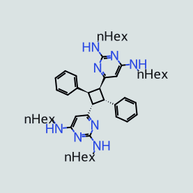 CCCCCCNc1cc([C@H]2[C@H](c3ccccc3)[C@H](c3cc(NCCCCCC)nc(NCCCCCC)n3)[C@H]2c2ccccc2)nc(NCCCCCC)n1